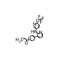 C=CC(=O)N1CC=C(c2cccnc2Nc2ccc(OC(F)(F)F)nc2)CC1